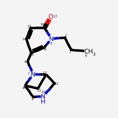 CCCn1cc(CN2C3CNCC2C3)ccc1=O